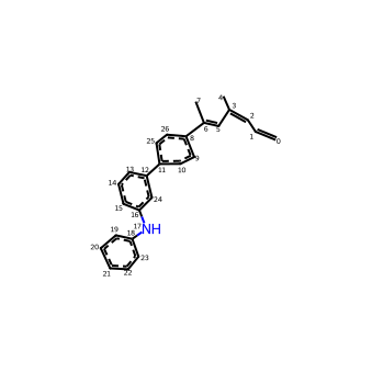 C=C/C=C(C)\C=C(/C)c1ccc(-c2cccc(Nc3ccccc3)c2)cc1